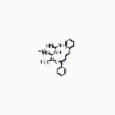 C(/C=C/c1ccccc1)=C\c1ccccc1.CN(C)C(=N)NC(=N)N.Cl